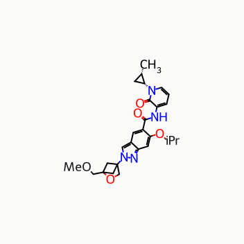 COCC12CC(n3cc4cc(C(=O)Nc5cccn([C@@H]6C[C@@H]6C)c5=O)c(OC(C)C)cc4n3)(CO1)C2